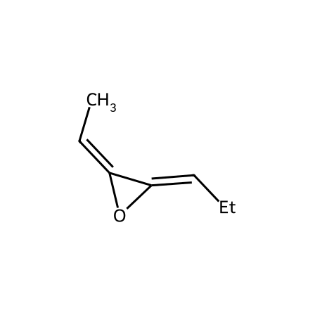 CC=C1OC1=CCC